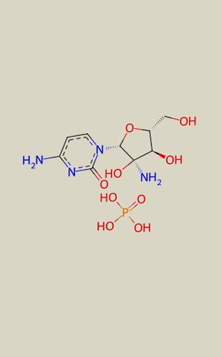 Nc1ccn([C@@H]2O[C@H](CO)[C@@H](O)[C@@]2(N)O)c(=O)n1.O=P(O)(O)O